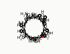 CCCC[C@H]1C(=O)N2C[C@H](O)C[C@@H]2C(=O)N[C@@H](CC(=O)O)C(=O)N[C@@H](C(C)C)C(=O)N(C)[C@@H](Cc2ccccc2)C(=O)N[C@@H](Cc2ccc(O)cc2)C(=O)N2CCCC[C@@H]2C(=O)N[C@@H](Cc2c[nH]c3ccccc23)C(=O)N[C@@H](Cc2ccc(O)cc2)C(=O)N[C@@H](CC(C)C)C(=O)N[C@H](C(=O)NCC(N)=O)CSCC(=O)N[C@@H](Cc2cc(F)c(F)c(F)c2)C(=O)N(C)[C@@H](Cc2ccccc2)C(=O)N1C